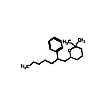 CCCCCC(CC1CCC[Si](C)(C)O1)c1ccccc1